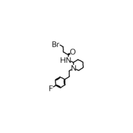 O=C(CCBr)NC1CCCCN1CCc1ccc(F)cc1